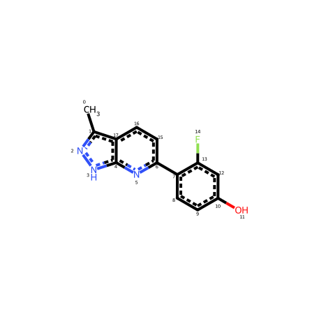 Cc1n[nH]c2nc(-c3ccc(O)cc3F)ccc12